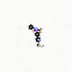 CCC1CN(C(=O)Nc2ccccc2)c2ccc(-c3ccc(SCC(=O)O)nc3)cc2O1